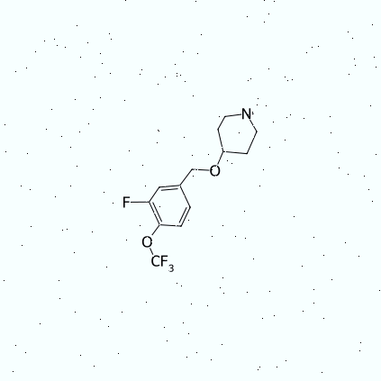 Fc1cc(COC2CC[N]CC2)ccc1OC(F)(F)F